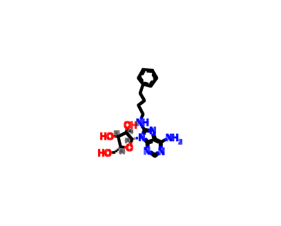 Nc1ncnc2c1nc(NCCCCc1ccccc1)n2[C@@H]1O[C@H](CO)[C@@H](O)[C@H]1O